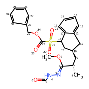 CO/C(=N\NC=O)[C@@H](C)C[C@@H]1Cc2ccccc2C(S(=O)(=O)C(=O)OCc2ccccc2)C1